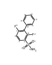 NS(=O)(=O)c1ccc(F)c(-c2ccccc2)c1F